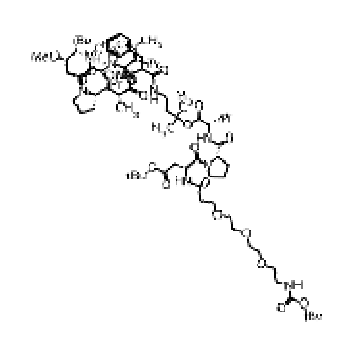 CC[C@H](C)[C@@H]([C@@H](CC(=O)N1CCC[C@H]1[C@H](OC)[C@@H](C)C(=O)N[C@@H](Cc1ccccc1)C(=O)NCCC(C)(C)OC(=O)[C@@H](NC(=O)[C@@H]1CCCN1C(=O)[C@H](CC(=O)OC(C)(C)C)NC(=O)CCOCCOCCOCCNC(=O)OC(C)(C)C)C(C)C)OC)N(C)C(=O)[C@@H](NC(=O)[C@H](C(C)C)N(C)C)C(C)C